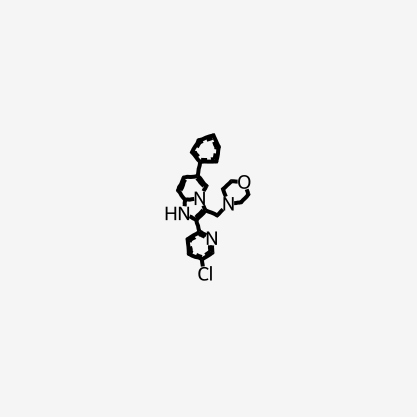 Clc1ccc(C2=C(CN3CCOCC3)N3C=C(c4ccccc4)C=CC3N2)nc1